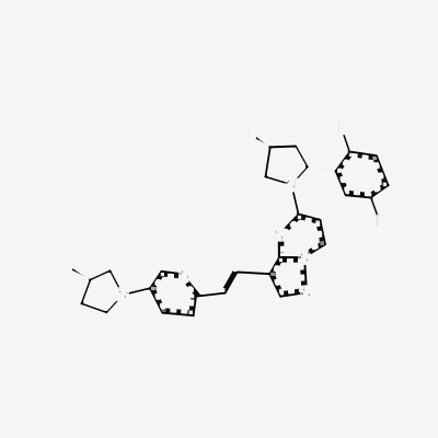 O[C@@H]1CCN(c2ccc(/C=C/c3cnn4ccc(N5C[C@@H](F)C[C@@H]5c5cc(F)ccc5F)nc34)nc2)C1